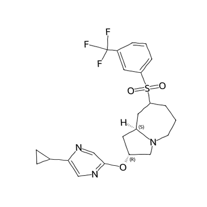 O=S(=O)(c1cccc(C(F)(F)F)c1)C1CCCN2C[C@H](Oc3cnc(C4CC4)cn3)C[C@H]2C1